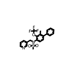 Cc1c(-c2ccccc2)ccc(N(Cc2cccnc2)S(C)(=O)=O)c1OC(F)(F)F